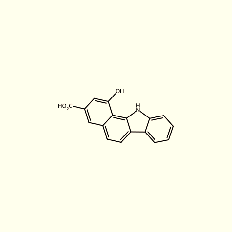 O=C(O)c1cc(O)c2c(ccc3c4ccccc4[nH]c32)c1